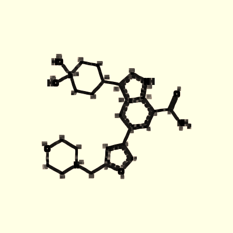 NC(=O)c1cc(-c2coc(CN3CCOCC3)c2)cc2c(C3CCS(O)(O)CC3)c[nH]c12